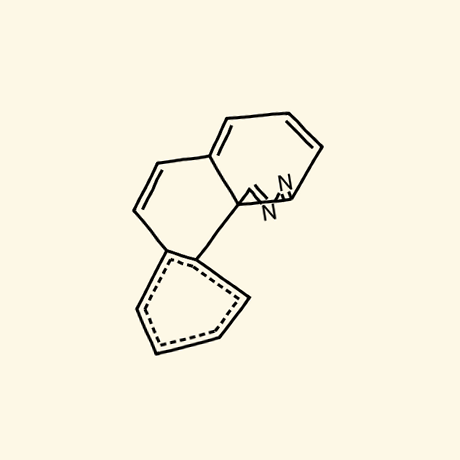 C1=CC2=NN=CC23C(=C1)C=Cc1ccccc13